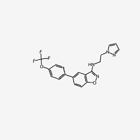 FC(F)(F)Oc1ccc(-c2ccc3onc(NCCn4cccn4)c3c2)cc1